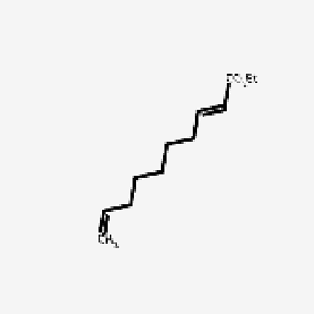 C=CCCCCCC=CC(=O)OCC